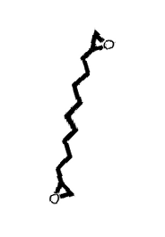 C(CCCCC1CO1)CCCCC1CO1